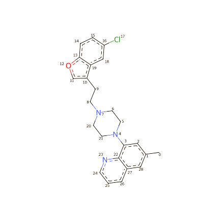 Cc1cc(N2CCN(CCc3coc4ccc(Cl)cc34)CC2)c2ncccc2c1